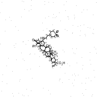 CC(C)C1=C2C(CC1=O)[C@@H](NCCN1CCS(=O)(=O)CC1)C[C@]1(C)[C@@H]2CC[C@@H]2[C@@]3(C)CC=C(C4=CC[C@](CF)(C(=O)O)CC4)C(C)(C)[C@@H]3CC[C@]21C